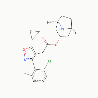 O=C(Cc1c(-c2c(Cl)cccc2Cl)noc1C1CC1)O[C@@H]1C[C@H]2CC[C@@H](C1)N2